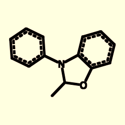 CC1Oc2ccccc2N1c1ccccc1